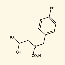 O=C(O)N(Cc1ccc(Br)cc1)CC(O)O